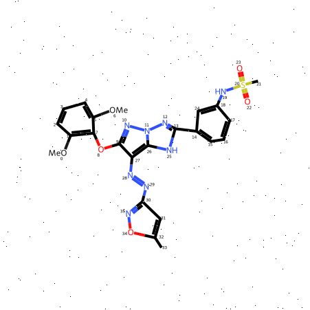 COc1cccc(OC)c1Oc1nn2nc(-c3cccc(NS(C)(=O)=O)c3)[nH]c2c1N=Nc1cc(C)on1